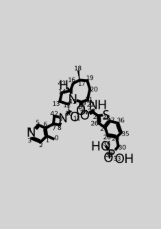 Cc1ccncc1C1CN(C(=O)[C@@H]2CC[C@@H]3C[C@@H](C)CC[C@H](NC(=O)c4cc5cc(CP(=O)(O)O)ccc5s4)C(=O)N32)C1